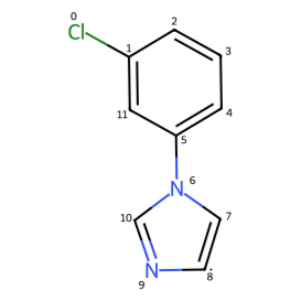 Clc1cccc(-n2c[c]nc2)c1